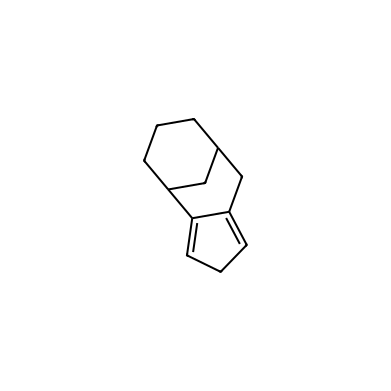 C1=C2CC3CCCC(C3)C2=CC1